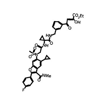 CCOC(=O)C(O)=CC(=O)c1cccc(CNC(=O)C2(NC(=O)CN(c3cc4oc(-c5ccc(F)cc5)c(C(=O)NC)c4cc3C3CC3)S(C)(=O)=O)CC2)c1